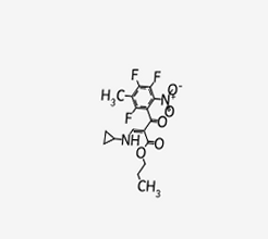 CCCOC(=O)C(=CNC1CC1)C(=O)c1c(F)c(C)c(F)c(F)c1[N+](=O)[O-]